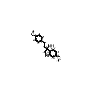 COc1ccc(CCC(N)(CN)c2ccc(OC)cc2)cc1